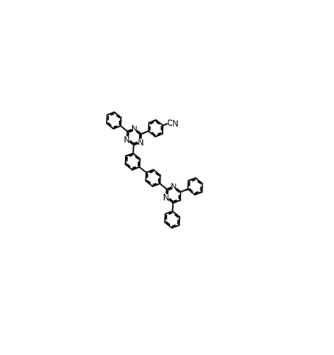 N#Cc1ccc(-c2nc(-c3ccccc3)nc(-c3cccc(-c4ccc(-c5nc(-c6ccccc6)cc(-c6ccccc6)n5)cc4)c3)n2)cc1